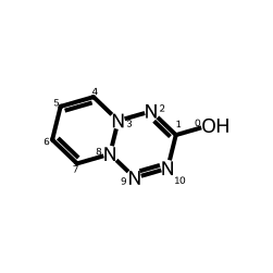 OC1=NN2C=CC=CN2N=N1